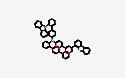 C1=C(c2ccc(N(c3ccc(-c4cccc(-c5cccc6c5oc5ccccc56)c4)cc3)c3ccccc3-c3ccc(-c4ccccc4)cc3)cc2)C(n2c3ccccc3c3ccccc32)=CCC1